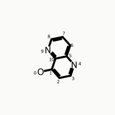 [O]c1ccnc2cccnc12